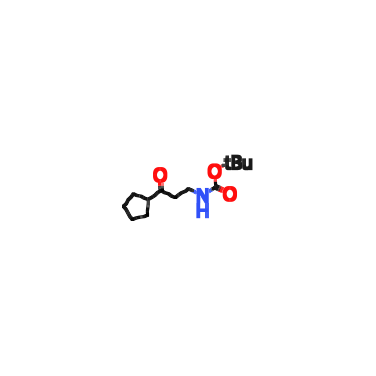 CC(C)(C)OC(=O)NCCC(=O)C1CCCC1